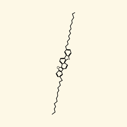 CCCCCCCCCCCCCCc1ccc2oc3c(ccc4c3ccc3c5cc(CCCCCCCCCCCCCC)ccc5sc34)c2c1